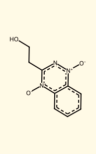 [O-][n+]1nc(CCO)[n+]([O-])c2ccccc21